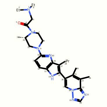 CCN(CC)CC(=O)N1CCN(c2ccc3[nH]c(-c4cn5ncnc5c(C)c4C)c(C(C)C)c3n2)C[C@@H]1C